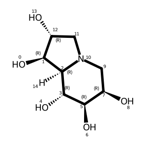 O[C@@H]1[C@@H]2[C@@H](O)[C@H](O)[C@H](O)CN2C[C@H]1O